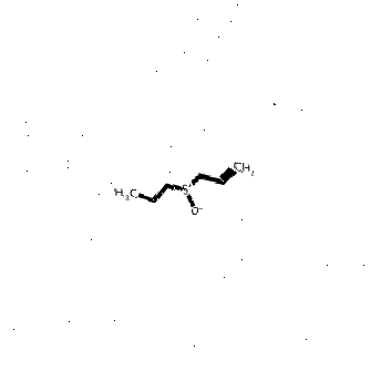 C=CC[S+]([O-])CCC